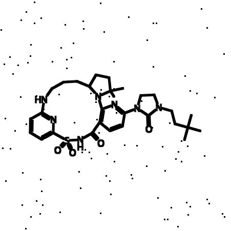 CC(C)(C)CCN1CCN(c2ccc3c(n2)N2C(CCCNc4cccc(n4)S(=O)(=O)NC3=O)CCC2(C)C)C1=O